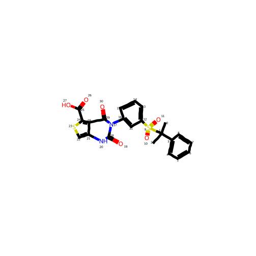 CC(C)(c1ccccc1)S(=O)(=O)c1cccc(-n2c(=O)[nH]c3csc(C(=O)O)c3c2=O)c1